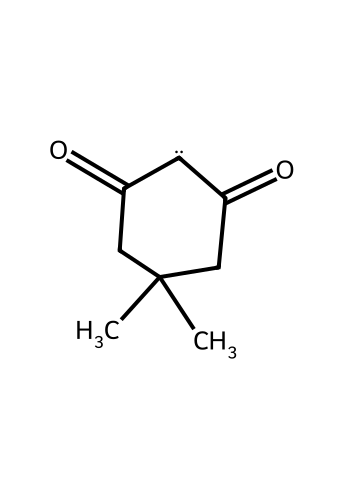 CC1(C)CC(=O)[C]C(=O)C1